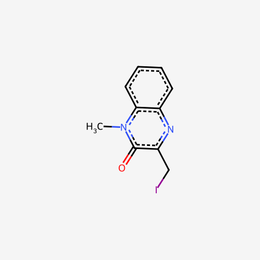 Cn1c(=O)c(CI)nc2ccccc21